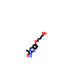 CC1C(=O)NC2=Nc3ccc(OCCCCCO)cc3CN21